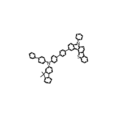 CC1(C)c2ccccc2-c2ccc(N(c3ccc(-c4ccccc4)cc3)c3ccc(-c4ccc(-c5ccc6c(c5)c5c7sc8ccccc8c7ccc5n6-c5ccccc5)cc4)cc3)cc21